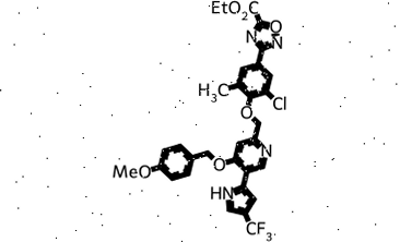 CCOC(=O)c1nc(-c2cc(C)c(OCc3cc(OCc4ccc(OC)cc4)c(-c4cc(C(F)(F)F)c[nH]4)cn3)c(Cl)c2)no1